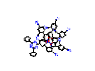 N#Cc1ccc(-c2ccc3c(c2)c2cc(-c4ccc(C#N)cc4C#N)ccc2n3-c2ccc(-c3nc(-c4ccccc4)nc(-c4ccccc4)n3)cc2-c2ccc(C#N)cc2-n2c3ccc(-c4ccc(C#N)cc4C#N)cc3c3cc(-c4ccc(C#N)cc4C#N)ccc32)c(C#N)c1